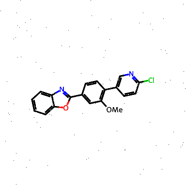 COc1cc(-c2nc3ccccc3o2)ccc1-c1ccc(Cl)nc1